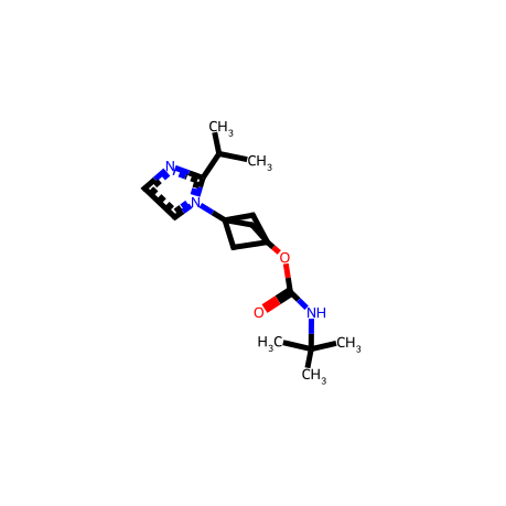 CC(C)c1nccn1C12CC(OC(=O)NC(C)(C)C)(C1)C2